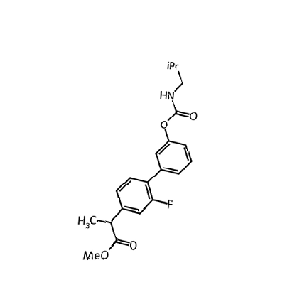 COC(=O)C(C)c1ccc(-c2cccc(OC(=O)NCC(C)C)c2)c(F)c1